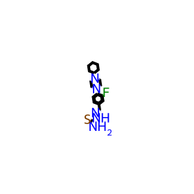 NC(=S)NN=Cc1ccc(N2CCN(C3CCCCC3)CC2)c(F)c1